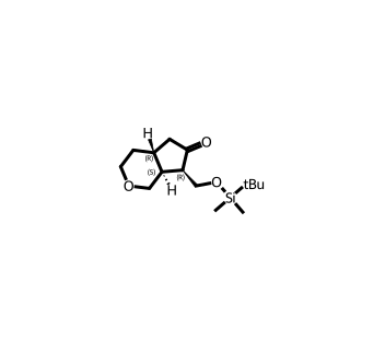 CC(C)(C)[Si](C)(C)OC[C@@H]1C(=O)C[C@H]2CCOC[C@@H]21